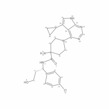 NC1(C(=O)N[C@@H](CCO)c2ccc(Cl)cc2)CCN(c2ncnc3[nH]cc(C4CC4)c23)CC1